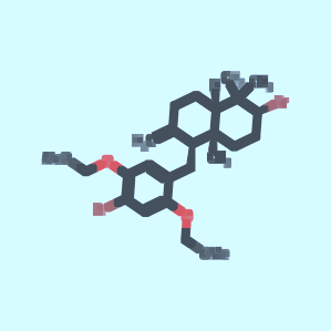 C=C1CC[C@@H]2C(C)(C)[C@@H](Br)CC[C@]2(C)[C@H]1Cc1cc(OCOC)c(Br)cc1OCOC